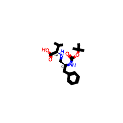 CC(C)[C@H](NC[C@H](Cc1ccccc1)NC(=O)OC(C)(C)C)C(=O)O